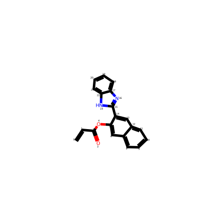 C=CC(=O)Oc1cc2ccccc2cc1-c1nc2ccccc2[nH]1